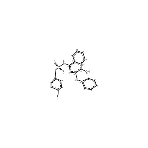 O=S(=O)(Cc1ccc(F)cc1)Nc1cc(Sc2ccccc2)c(O)c2ccccc12